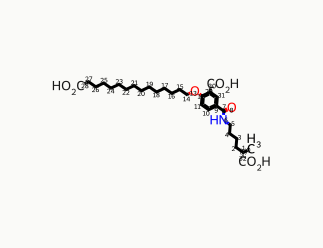 C[C@@H](CCCCNC(=O)c1ccc(OCCCCCCCCCCCCCCC(=O)O)c(C(=O)O)c1)C(=O)O